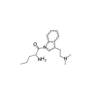 CCCC(N)C(=O)n1cc(CCN(C)C)c2ccccc21